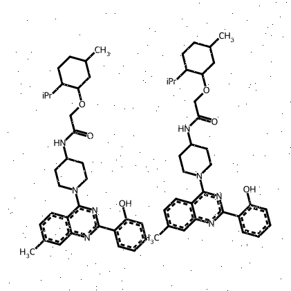 Cc1ccc2c(N3CCC(NC(=O)COC4CC(C)CCC4C(C)C)CC3)nc(-c3ccccc3O)nc2c1.Cc1ccc2c(N3CCC(NC(=O)COC4CC(C)CCC4C(C)C)CC3)nc(-c3ccccc3O)nc2c1